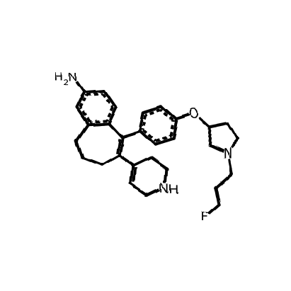 Nc1ccc2c(c1)CCCC(C1=CCNCC1)=C2c1ccc(OC2CCN(CCCF)C2)cc1